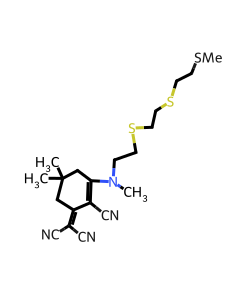 CSCCSCCSCCN(C)C1=C(C#N)C(=C(C#N)C#N)CC(C)(C)C1